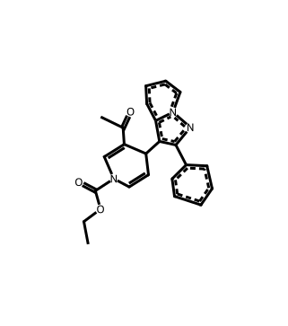 CCOC(=O)N1C=CC(c2c(-c3ccccc3)nn3ccccc23)C(C(C)=O)=C1